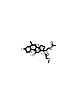 COCC(=O)O[C@]1(C(=O)COC(C)=O)CC[C@H]2[C@@H]3CC(C)C4=CC(=O)CC[C@]4(C)[C@H]3C(O)C[C@@]21C